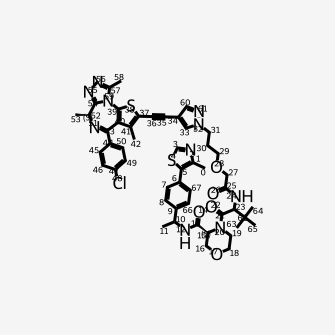 Cc1ncsc1-c1ccc(C(C)NC(=O)[C@@H]2COCCN2C(=O)C(NC(=O)COCCCn2cc(C#Cc3sc4c(c3C)C(c3ccc(Cl)cc3)=N[C@@H](C)c3nnc(C)n3-4)cn2)C(C)(C)C)cc1